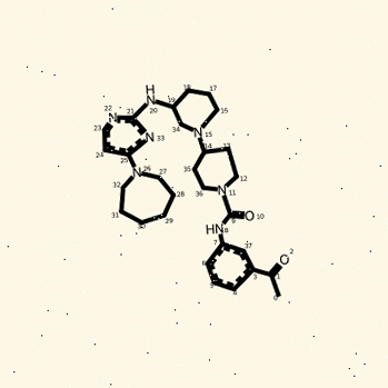 CC(=O)c1cccc(NC(=O)N2CCC(N3CCCC(Nc4nccc(N5CCCCCC5)n4)C3)CC2)c1